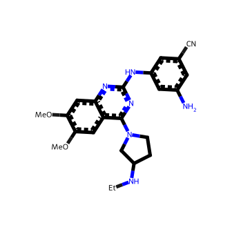 CCNC1CCN(c2nc(Nc3cc(N)cc(C#N)c3)nc3cc(OC)c(OC)cc23)C1